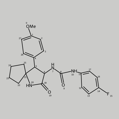 COc1ccc(C2C(NC(=O)Nc3ccc(F)cc3)C(=O)NC23CCCC3)cc1